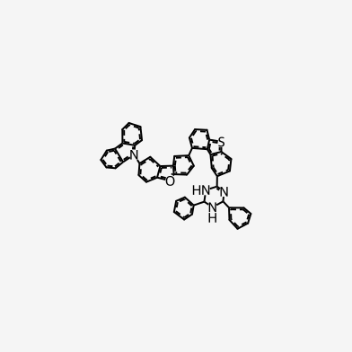 c1ccc(C2N=C(c3ccc4sc5cccc(-c6ccc7oc8ccc(-n9c%10ccccc%10c%10ccccc%109)cc8c7c6)c5c4c3)NC(c3ccccc3)N2)cc1